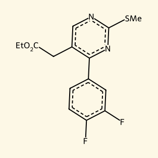 CCOC(=O)Cc1cnc(SC)nc1-c1ccc(F)c(F)c1